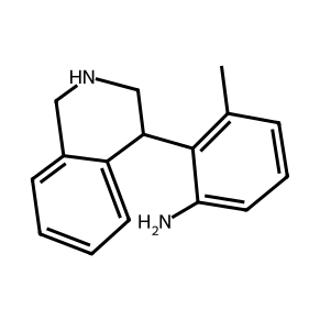 Cc1cccc(N)c1C1CNCc2ccccc21